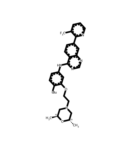 C[C@H]1CN(CCOc2cc(Nc3ncnc4cc(-c5ncccc5C(F)(F)F)ccc34)ccc2C(C)(C)C)C[C@H](C)O1